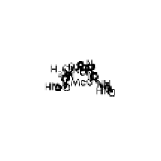 COc1nc(-c2ccnc(-c3cccc(NC(=O)c4nc5c(n4C)CCN(C(=O)[C@@H]4CCNC4)C5)c3Cl)c2Cl)ccc1CNC[C@H]1CCC(=O)N1